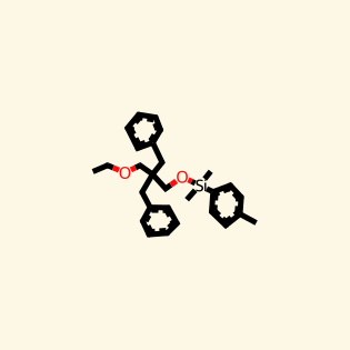 CCOCC(CO[Si](C)(C)c1ccc(C)cc1)(Cc1ccccc1)Cc1ccccc1